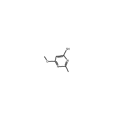 COc1cc(S)nc(C)n1